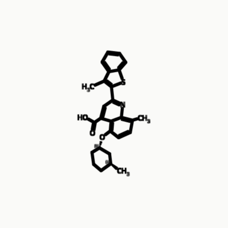 Cc1c(-c2cc(C(=O)O)c3c(O[C@H]4CCC[C@H](C)C4)ccc(C)c3n2)sc2ccccc12